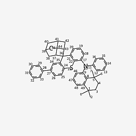 CC1(C)CCC(C)(C)c2c(N(c3ccccc3)c3cccc4c3Sc3ccc(-c5ccccc5)cc3C43C4CC5CC6CC3C64C5)cccc21